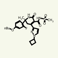 CCCCOc1ccc([C@]2(C)CC(c3ccn(C4CCC4)n3)=C(C(=O)NS(C)(=O)=O)C(=O)N2)c(F)c1